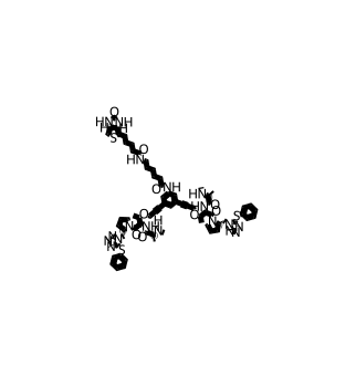 CN[C@@H](C)C(=O)N[C@H](C(=O)N1CCC[C@H]1Cn1nnnc1Sc1ccccc1)C(C)OCC#Cc1cc(C#CCOC(C)[C@H](NC(=O)[C@H](C)NC)C(=O)N2CCC[C@H]2Cn2nnnc2Sc2ccccc2)cc(NC(=O)CCCCCNC(=O)CCCCC2SC[C@@H]3NC(=O)N[C@H]23)c1